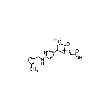 Cc1cccc(CNc2ccc(C3=CN(C)C(=O)C4(/C=C/C(=O)O)CC34)cn2)c1